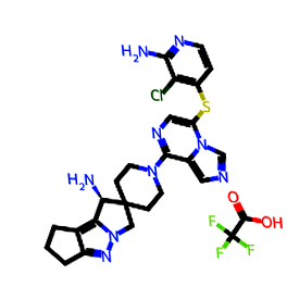 Nc1nccc(Sc2cnc(N3CCC4(CC3)Cn3nc5c(c3[C@H]4N)CCC5)c3cncn23)c1Cl.O=C(O)C(F)(F)F